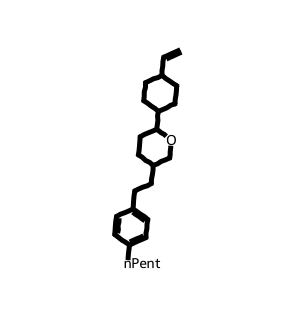 C=CC1CCC(C2CCC(CCc3ccc(CCCCC)cc3)CO2)CC1